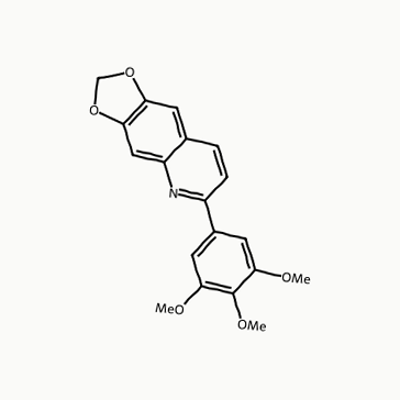 COc1cc(-c2ccc3cc4c(cc3n2)OCO4)cc(OC)c1OC